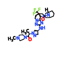 CC(C(=O)N1CCN(C)CC1)n1cc(Nc2nc3c(N4CC5CCC[C@@H](C4)N5C(=O)CCC(F)(F)F)cccn3n2)cn1